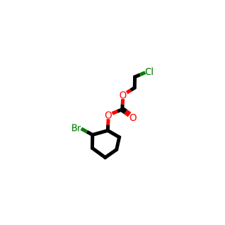 O=C(OCCCl)OC1CCCCC1Br